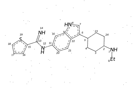 CCNC1CCC(c2c[nH]c3cc(NC(=N)c4cccs4)ccc23)CC1